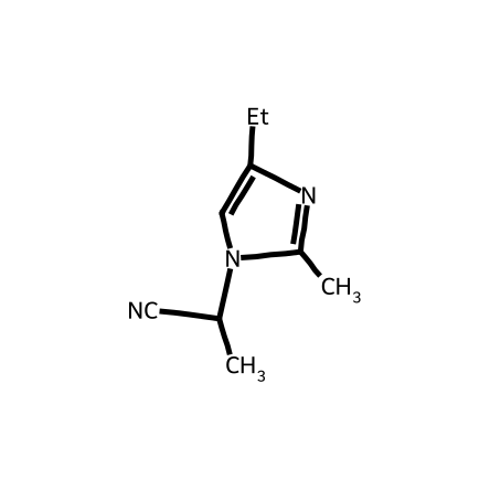 CCc1cn(C(C)C#N)c(C)n1